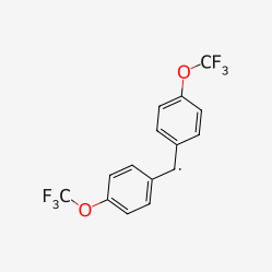 FC(F)(F)Oc1ccc([CH]c2ccc(OC(F)(F)F)cc2)cc1